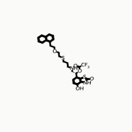 O=C(O[C@@H](CNCCCSCCOCCc1cccc2ccccc12)c1ccc(O)c2[nH]c(=O)sc12)C(F)(F)F